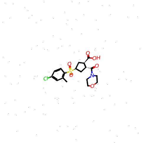 Cc1cc(Cl)ccc1S(=O)(=O)[C@H]1C[C@@H](C(=O)O)[C@H](C(=O)N2CCOCC2)C1